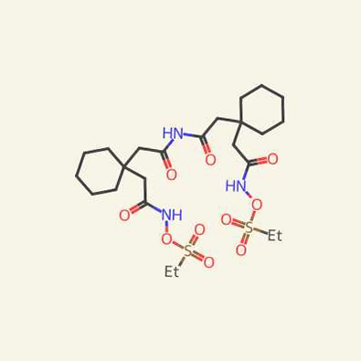 CCS(=O)(=O)ONC(=O)CC1(CC(=O)NC(=O)CC2(CC(=O)NOS(=O)(=O)CC)CCCCC2)CCCCC1